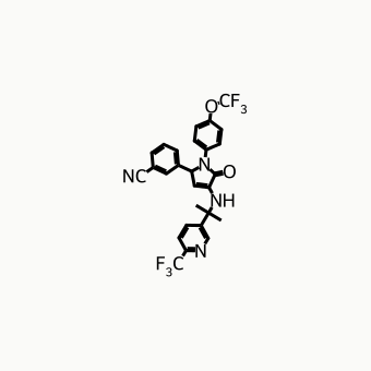 CC(C)(NC1=CC(c2cccc(C#N)c2)N(c2ccc(OC(F)(F)F)cc2)C1=O)c1ccc(C(F)(F)F)nc1